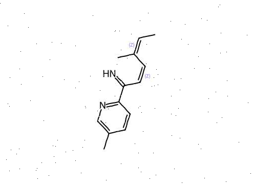 C/C=C(C)\C=C/C(=N)c1ccc(C)cn1